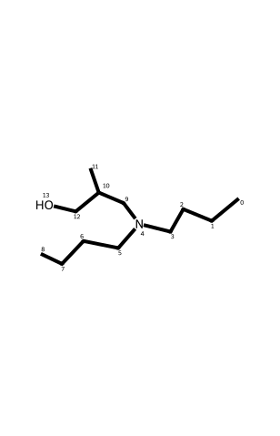 CCCCN(CCCC)CC(C)CO